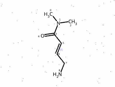 CN(C)C(=O)/C=C/CN